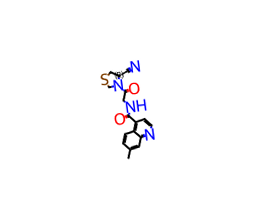 Cc1ccc2c(C(=O)NCC(=O)N3CSC[C@H]3C#N)ccnc2c1